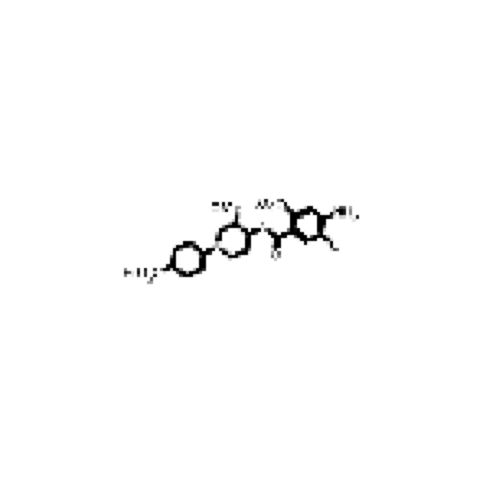 CCOC(=O)C1CCC(N2CCC(NC(=O)c3cc(Cl)c(N)cc3OC)C(OC)C2)CC1